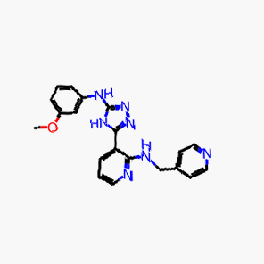 COc1cccc(Nc2nnc(-c3cccnc3NCc3ccncc3)[nH]2)c1